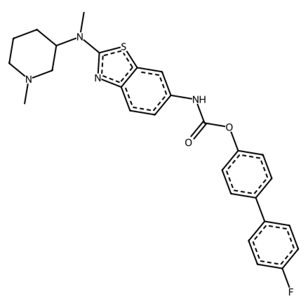 CN1CCCC(N(C)c2nc3ccc(NC(=O)Oc4ccc(-c5ccc(F)cc5)cc4)cc3s2)C1